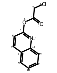 O=C(CCl)Oc1ccc2ccccc2n1